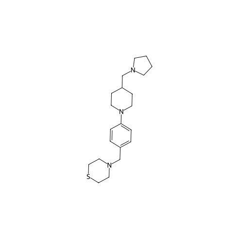 c1cc(N2CCC(CN3CCCC3)CC2)ccc1CN1CCSCC1